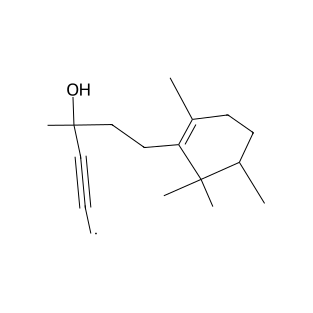 [CH2]C#CC(C)(O)CCC1=C(C)CCC(C)C1(C)C